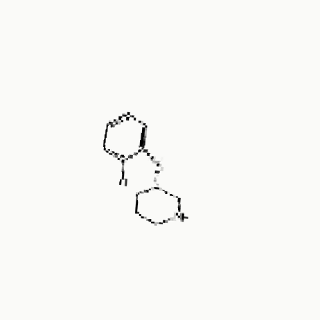 Clc1ccccc1SC1CCCNC1